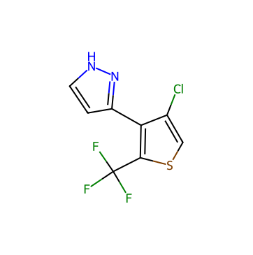 FC(F)(F)c1scc(Cl)c1-c1cc[nH]n1